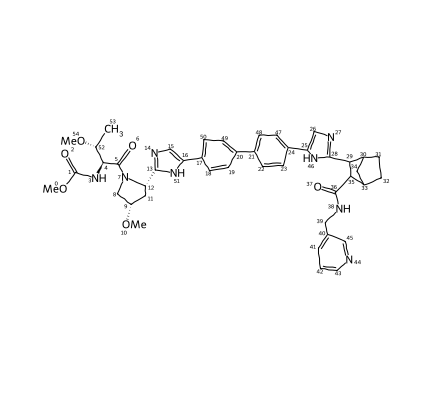 COC(=O)N[C@H](C(=O)N1C[C@@H](OC)C[C@H]1c1ncc(-c2ccc(-c3ccc(-c4cnc(C5C6CCC(C6)C5C(=O)NCc5cccnc5)[nH]4)cc3)cc2)[nH]1)[C@@H](C)OC